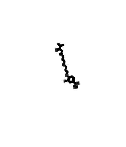 CC(C)C(=O)COCCCOCCCOc1ccc(NS)cc1F